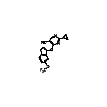 N#Cc1cnc(C2CC2)nc1OC1CCc2ccc(OC(F)(F)F)cc21